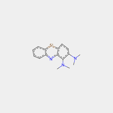 CN(C)c1ccc2[s+]c3ccccc3nc2c1N(C)C